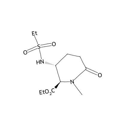 CCOC(=O)[C@H]1[C@H](NS(=O)(=O)CC)CCC(=O)N1C